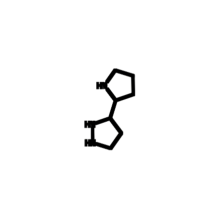 C1CNC(C2CCNN2)C1